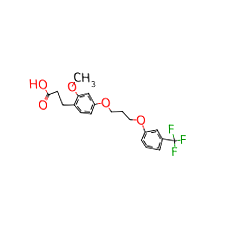 COc1cc(OCCCOc2cccc(C(F)(F)F)c2)ccc1CCC(=O)O